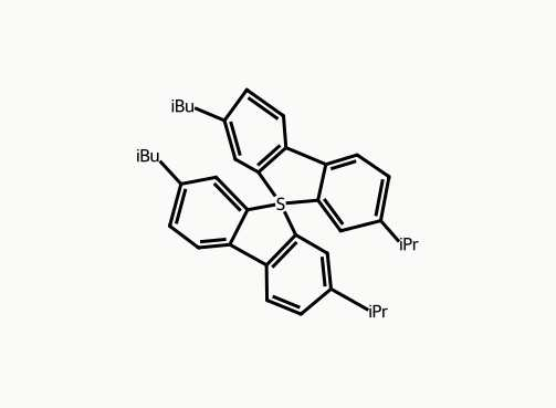 CCC(C)c1ccc2c(c1)S1(c3cc(C(C)C)ccc3-2)c2cc(C(C)C)ccc2-c2ccc(C(C)CC)cc21